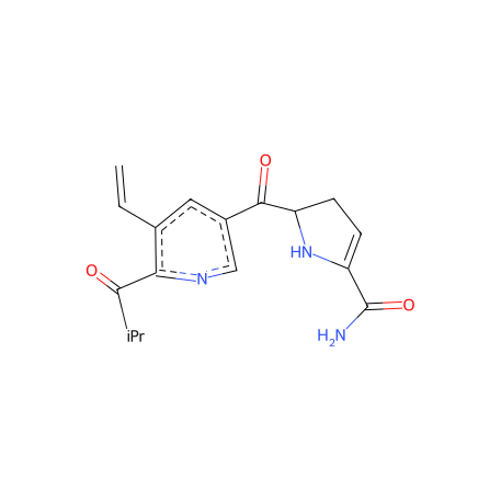 C=Cc1cc(C(=O)C2CC=C(C(N)=O)N2)cnc1C(=O)C(C)C